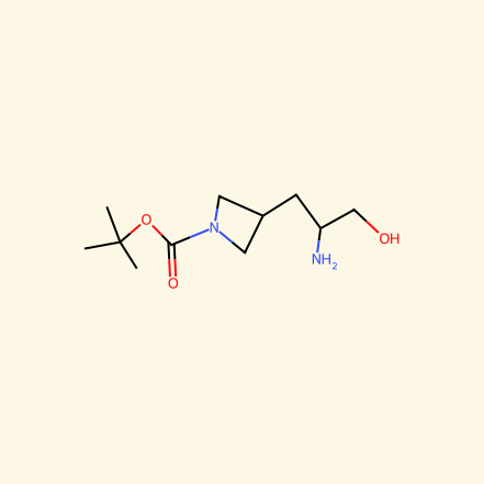 CC(C)(C)OC(=O)N1CC(CC(N)CO)C1